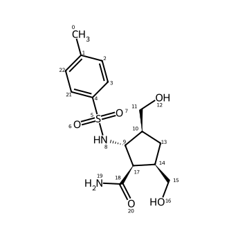 Cc1ccc(S(=O)(=O)N[C@@H]2[C@@H](CO)C[C@@H](CO)[C@H]2C(N)=O)cc1